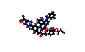 CCCOc1ccc(/C=C/C(=O)N(Cc2ccc(N3CCN(C(C)=O)CC3)cc2)[C@@H](Cc2ccccc2)C(=O)N2CCN(Cc3ccccc3)CC2)cc1